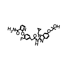 CC(C)(O)COc1ccc2nc(NC(=O)Cc3ccc(Oc4ncccc4C(N)=O)c(F)c3)n(CC3CC3)c2c1